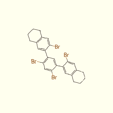 Brc1cc2c(cc1-c1cc(-c3cc4c(cc3Br)CCCC4)c(Br)cc1Br)CCCC2